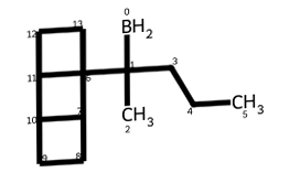 BC(C)(CCC)C12C3C4C5C3C1C5C42